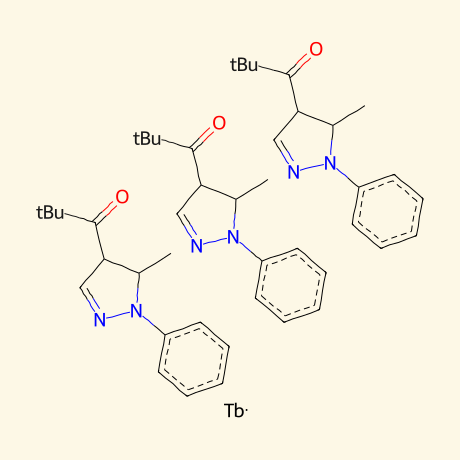 CC1C(C(=O)C(C)(C)C)C=NN1c1ccccc1.CC1C(C(=O)C(C)(C)C)C=NN1c1ccccc1.CC1C(C(=O)C(C)(C)C)C=NN1c1ccccc1.[Tb]